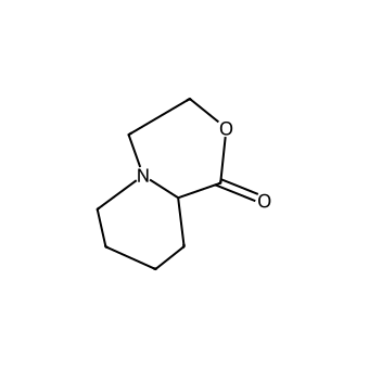 O=C1OCCN2CCCCC12